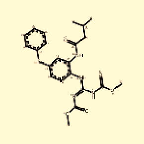 COC(=O)N=C(NC(=O)OC)Nc1ccc(Sc2ccccc2)cc1NC(=O)CC(C)C